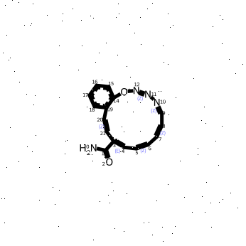 NC(=O)C1=C/C=C\C=C/C=N\N=N/Oc2ccccc2/C=C\1